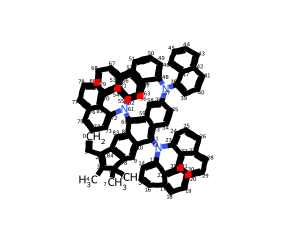 C=CC1=C(C)C(C)(C)c2cc3c(N(c4cccc5ccccc45)c4cccc5ccccc45)c4ccc(N(c5cccc6ccccc56)c5cccc6ccccc56)cc4c(N(c4cccc5ccccc45)c4cccc5ccccc45)c3cc21